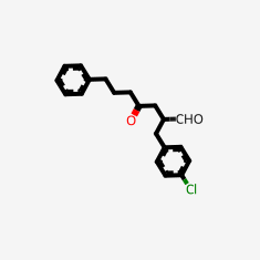 O=CC(CC(=O)CCCc1ccccc1)Cc1ccc(Cl)cc1